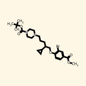 COC(=O)c1ccc(OCC(CCCN2CCN(C(=O)OC(C)(C)C)CC2)C2CC2)c(Br)c1